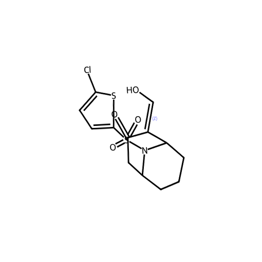 O=C1CC2CCCC(/C1=C/O)N2S(=O)(=O)c1ccc(Cl)s1